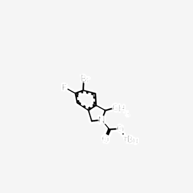 CC1c2cc(Br)c(F)cc2CN1C(=O)OC(C)(C)C